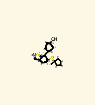 CC1(Sc2ccc3cnsc3c2-c2ccc(C#N)cc2)CCCC1